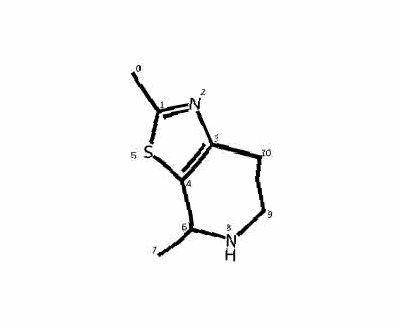 Cc1nc2c(s1)C(C)NCC2